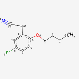 CCCCOc1ccc(F)cc1CC#N